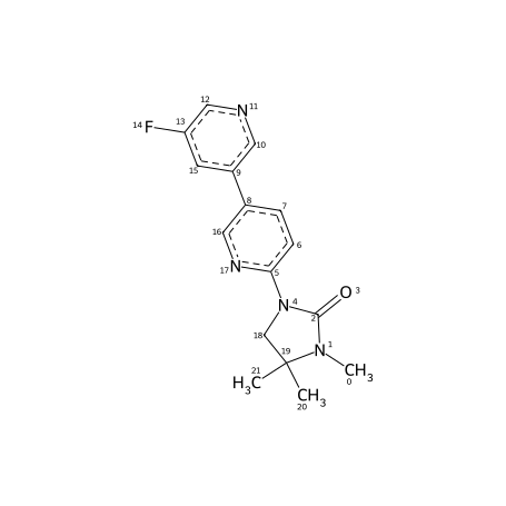 CN1C(=O)N(c2ccc(-c3cncc(F)c3)cn2)CC1(C)C